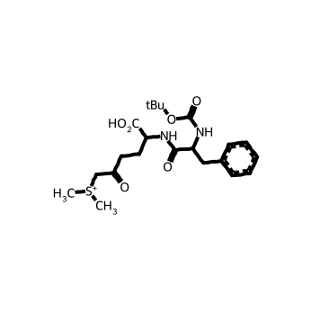 C[S+](C)CC(=O)CCC(NC(=O)C(Cc1ccccc1)NC(=O)OC(C)(C)C)C(=O)O